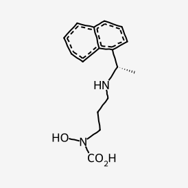 C[C@H](NCCCN(O)C(=O)O)c1cccc2ccccc12